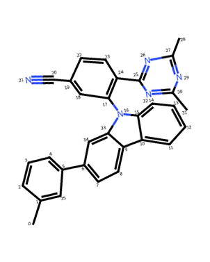 Cc1cccc(-c2ccc3c4ccccc4n(-c4cc(C#N)ccc4-c4nc(C)nc(C)n4)c3c2)c1